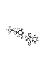 O=C1c2ccccc2C(=O)N1CCCc1cccc(OCC2CCC2)c1